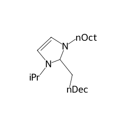 CCCCCCCCCCCC1N(CCCCCCCC)C=CN1C(C)C